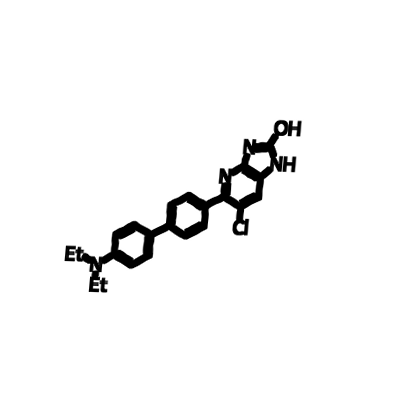 CCN(CC)c1ccc(-c2ccc(-c3nc4nc(O)[nH]c4cc3Cl)cc2)cc1